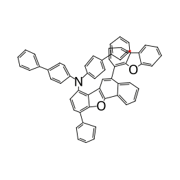 c1ccc(-c2ccc(N(c3ccc(-c4ccccc4)cc3)c3ccc(-c4ccccc4)c4oc5c6ccccc6c(-c6cccc7c6oc6ccccc67)cc5c34)cc2)cc1